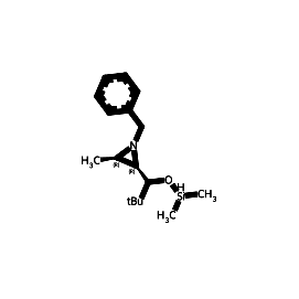 C[C@@H]1[C@H](C(O[SiH](C)C)C(C)(C)C)N1Cc1ccccc1